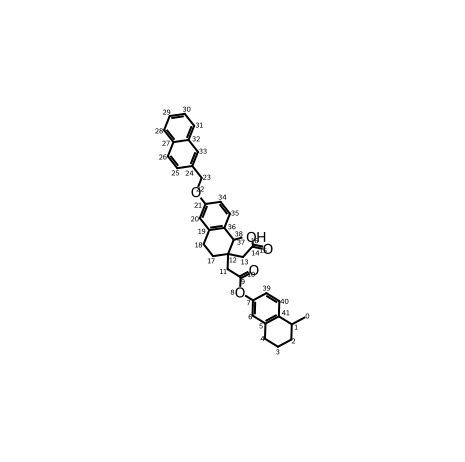 CC1CCCc2cc(OC(=O)CC3(CC(=O)O)CCc4cc(OCc5ccc6ccccc6c5)ccc4C3C)ccc21